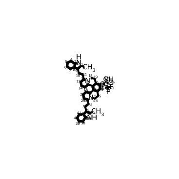 Cc1[nH]c2ccccc2c1/C=C/c1cccc2[n+]1CCc1ccc3c(c1-2)-c1cccc(/C=C/c2c(C)[nH]c4ccccc24)[n+]1CC3.O=S(=O)(O)C(F)(F)F